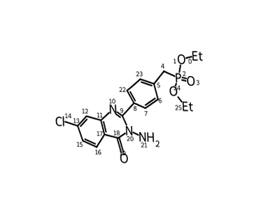 CCOP(=O)(Cc1ccc(-c2nc3cc(Cl)ccc3c(=O)n2N)cc1)OCC